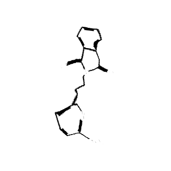 Nc1cccc(CCN2C(=O)c3ccccc3C2=O)n1